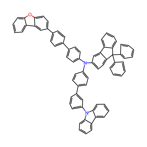 c1ccc(C2(c3ccccc3)c3ccccc3-c3cc(N(c4ccc(-c5ccc(-c6ccc7oc8ccccc8c7c6)cc5)cc4)c4ccc(-c5cccc(-n6c7ccccc7c7ccccc76)c5)cc4)ccc32)cc1